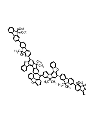 CCCCCCCCC1(CCCCCCCC)c2ccccc2-c2ccc(-c3ccc4c(c3)C(C)(C)c3cc(-c5cc6c(c7c5oc5ccccc57)-c5ccc(N(c7ccc8c(c7)C(C)(C)c7cc(-c9ccc%10c(c9)C(C)(C)c9cc(-c%11ccc%12c(c%11)C(CCCCCCCC)(CCCCCCCC)c%11ccccc%11-%12)ccc9-%10)c9oc%10ccccc%10c9c7-8)c7cccc8oc9ccccc9c78)cc5C6(C)C)ccc3-4)cc21